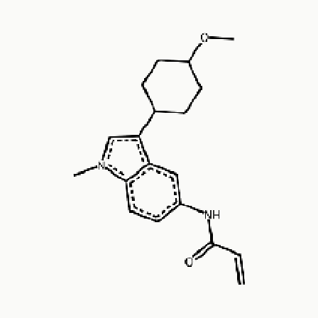 C=CC(=O)Nc1ccc2c(c1)c(C1CCC(OC)CC1)cn2C